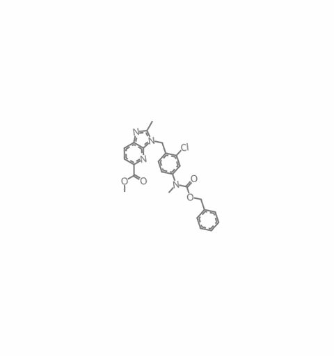 COC(=O)c1ccc2nc(C)n(Cc3ccc(N(C)C(=O)OCc4ccccc4)cc3Cl)c2n1